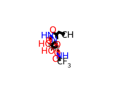 C#CCc1cn([C@@H]2O[C@H](CONC(=O)C(F)(F)F)[C@@H](O)[C@H]2O)c(=O)[nH]c1=O